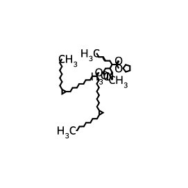 CCC=CCC(C(=O)OC1CCCC1)C(CC(=O)OC(CCCCCCCCC1CC1CCCCCCCC)CCCCCCCCC1CC1CCCCCCCC)CN(C)C